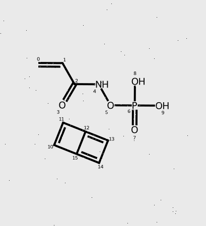 C=CC(=O)NOP(=O)(O)O.c1cc2ccc1-2